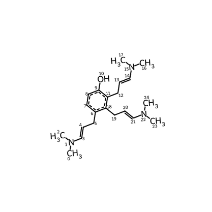 CN(C)C=CCc1ccc(O)c(CC=CN(C)C)c1CC=CN(C)C